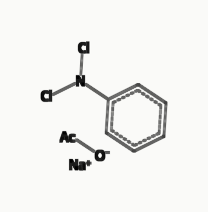 CC(=O)[O-].ClN(Cl)c1ccccc1.[Na+]